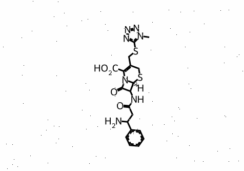 Cn1nnnc1SCC1=C(C(=O)O)N2C(=O)C(NC(=O)CC(N)c3ccccc3)[C@@H]2SC1